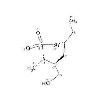 CCCC[C@@H](CO)N(C)S(=O)(=O)S